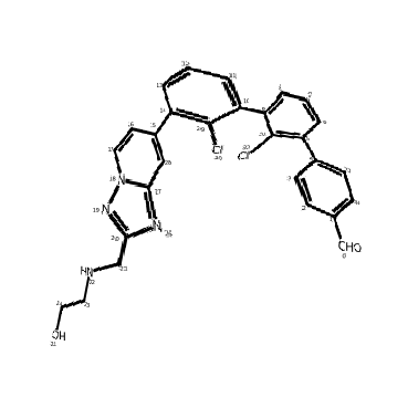 O=Cc1ccc(-c2cccc(-c3cccc(-c4ccn5nc(CNCCO)nc5c4)c3Cl)c2Cl)cc1